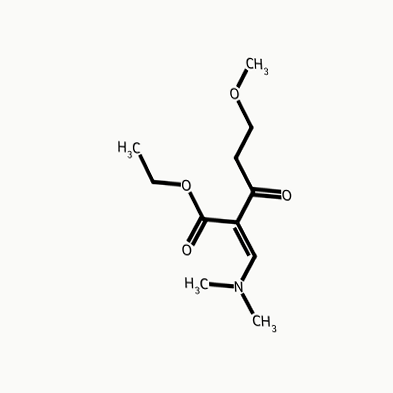 CCOC(=O)/C(=C\N(C)C)C(=O)CCOC